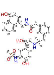 CC(C)(Cc1cccc(CC(=O)NCc2ccc(O)c3ccccc23)c1)NC[C@@H](O)c1ccc(O)c(NS(C)(=O)=O)c1